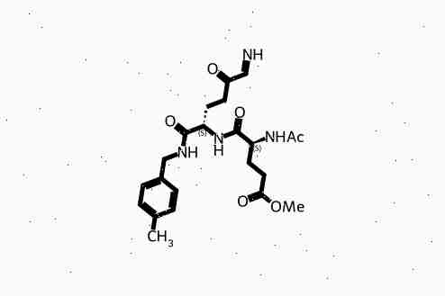 COC(=O)CC[C@H](NC(C)=O)C(=O)N[C@@H](CCC(=O)C=N)C(=O)NCc1ccc(C)cc1